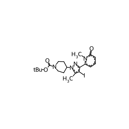 Cc1c(I)c(-c2cccc(=O)n2C)nn1C1CCN(C(=O)OC(C)(C)C)CC1